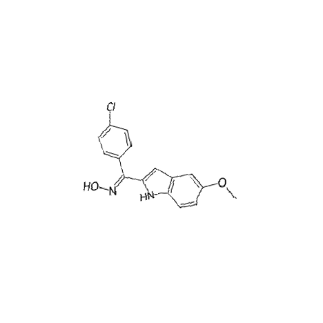 COc1ccc2[nH]c(C(=NO)c3ccc(Cl)cc3)cc2c1